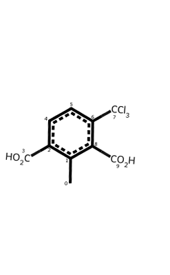 Cc1c(C(=O)O)ccc(C(Cl)(Cl)Cl)c1C(=O)O